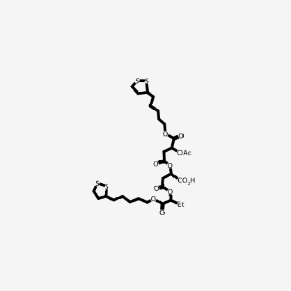 CCC(OC(=O)CC(OC(=O)CC(OC(C)=O)C(=O)OCCCCCC1CCSS1)C(=O)O)C(=O)OCCCCCC1CCSS1